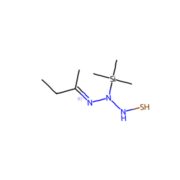 CC/C(C)=N/N(NS)[Si](C)(C)C